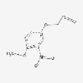 COc1ccc(OCC=O)cc1[N+](=O)[O-]